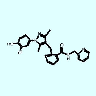 Cc1nn(-c2ccc(C#N)c(Cl)c2)c(C)c1Cc1ccccc1C(=O)NCc1ccccn1